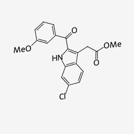 COC(=O)Cc1c(C(=O)c2cccc(OC)c2)[nH]c2cc(Cl)ccc12